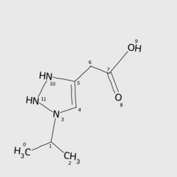 CC(C)N1C=C(CC(=O)O)NN1